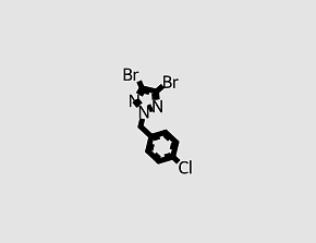 Clc1ccc(Cn2nc(Br)c(Br)n2)cc1